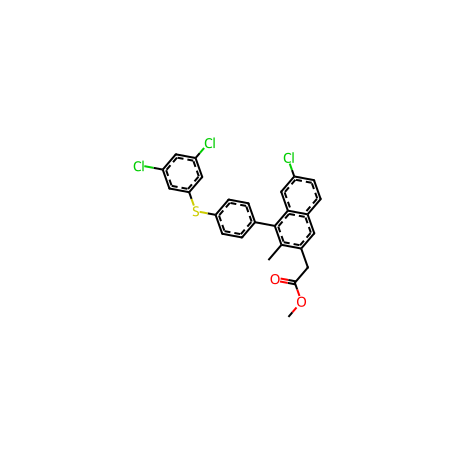 COC(=O)Cc1cc2ccc(Cl)cc2c(-c2ccc(Sc3cc(Cl)cc(Cl)c3)cc2)c1C